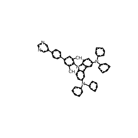 Cc1cc(-c2ccc(-c3cncnc3)cc2)cc(C)c1-n1c2ccc(N(c3ccccc3)c3ccccc3)cc2c2cc(N(c3ccccc3)c3ccccc3)ccc21